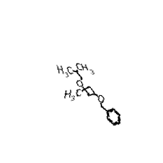 C[C](C)COC1(C)CC(OCc2ccccc2)C1